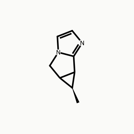 C[C@H]1C2Cn3ccnc3C21